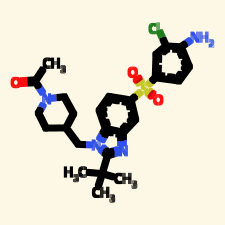 CC(=O)N1CCC(Cn2c(C(C)(C)C)nc3cc(S(=O)(=O)c4ccc(N)c(Cl)c4)ccc32)CC1